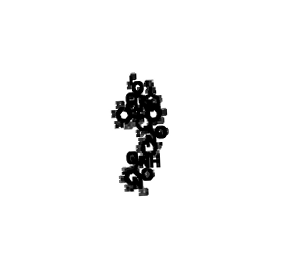 CCOC(=O)[C@H](NC(=O)[C@@]1(c2ccccc2)CC[C@H](C(=O)N2CCC(NC(=O)c3cccn(C)c3=O)CC2)c2ccccc21)C(C)C